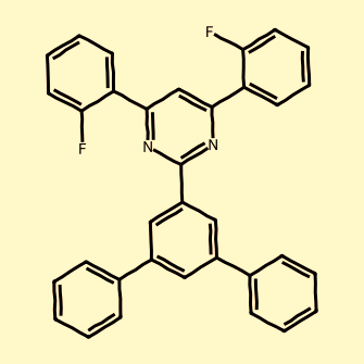 Fc1ccccc1-c1cc(-c2ccccc2F)nc(-c2cc(-c3ccccc3)cc(-c3ccccc3)c2)n1